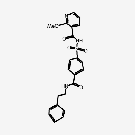 COc1ncccc1C(=O)NS(=O)(=O)c1ccc(C(=O)NCCc2ccccc2)cc1